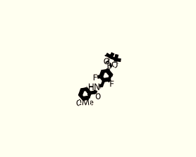 COc1ccccc1C(=O)NCc1c(F)cc(B2OC(C)(C)C(C)(C)O2)cc1F